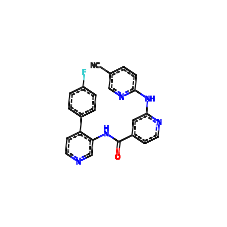 N#Cc1ccc(Nc2cc(C(=O)Nc3cnccc3-c3ccc(F)cc3)ccn2)nc1